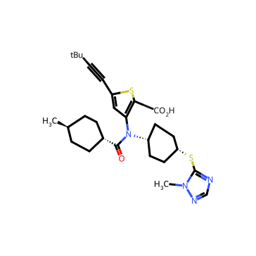 Cn1ncnc1S[C@H]1CC[C@@H](N(c2cc(C#CC(C)(C)C)sc2C(=O)O)C(=O)[C@H]2CC[C@H](C)CC2)CC1